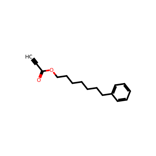 C#CC(=O)OCCCCCCCc1ccccc1